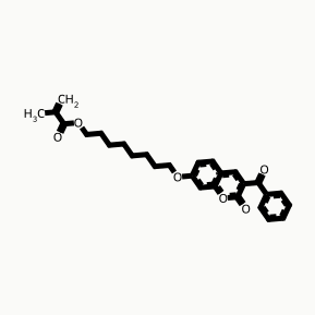 C=C(C)C(=O)OCCCCCCCCOc1ccc2cc(C(=O)c3ccccc3)c(=O)oc2c1